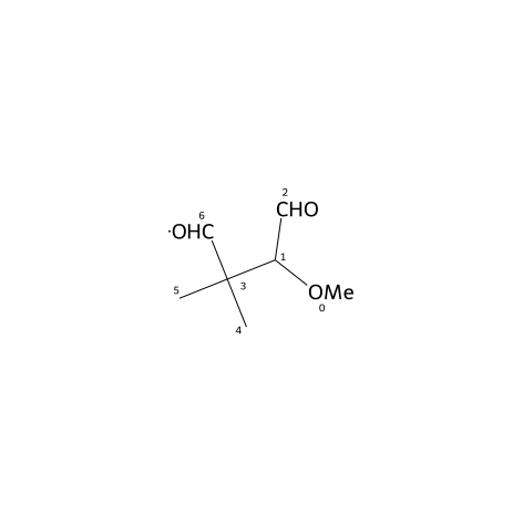 COC(C=O)C(C)(C)[C]=O